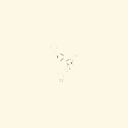 CCCCc1nnc(C(=O)NC[C@H](O)CN(C)C)cc1-c1ccc(OC2CCCCC2)cc1